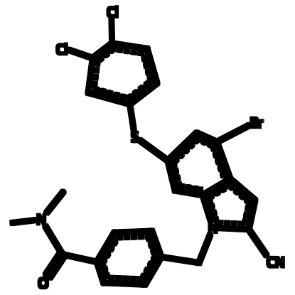 CN(C)C(=O)c1ccc(Cn2c(C#N)cc3c(Br)cc(Sc4ccc(Cl)c(Cl)c4)cc32)cc1